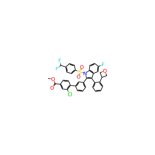 COC(=O)c1ccc(-c2cccc(-c3c(-c4ccccc4C4COC4)c4cc(F)ccc4n3S(=O)(=O)c3ccc(C(F)F)cc3)c2)c(Cl)c1